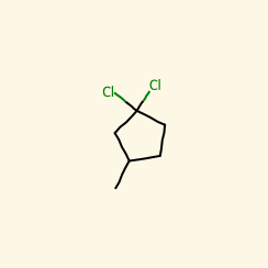 CC1CCC(Cl)(Cl)C1